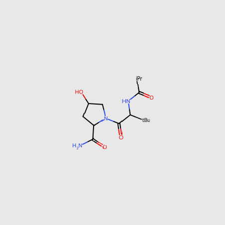 CC(C)C(=O)NC(C(=O)N1CC(O)CC1C(N)=O)C(C)(C)C